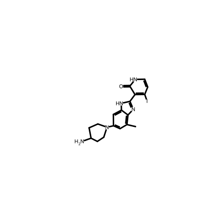 Cc1cc(N2CCC(N)CC2)cc2[nH]c(-c3c(I)cc[nH]c3=O)nc12